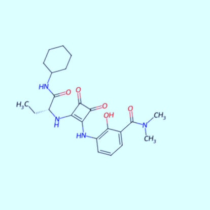 CC[C@@H](Nc1c(Nc2cccc(C(=O)N(C)C)c2O)c(=O)c1=O)C(=O)NC1CCCCC1